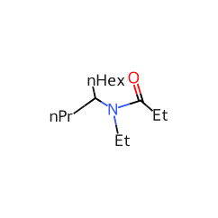 CCCCCCC(CCC)N(CC)C(=O)CC